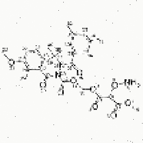 COC(=O)C(ON)C(=O)OCOC(=O)N(C(=O)c1cccc(OC)c1C)N(C(=O)c1cc(C)cc(C)c1)C(C)(C)C